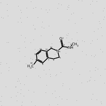 CNC(=O)N1CCc2cc(C)ccc2C1